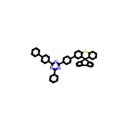 c1ccc(-c2ccc(-c3nc(-c4ccccc4)nc(-c4ccc(-c5ccc6c(c5)C5(c7ccccc7S6)c6ccccc6-c6ccccc65)cc4)n3)cc2)cc1